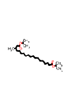 CC(CCCCCCCCCCCCCCCC(=O)OC(C)C)CC(=O)OC(C)C